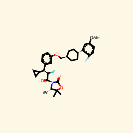 COc1ccc(F)c([C@H]2CC[C@H](COc3cccc([C@H](C4CC4)C(F)C(=O)N4C(=O)OC(C)(C)[C@@H]4C(C)C)c3)CC2)c1